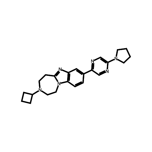 c1cc2c(cc1-c1cnc(N3CCCC3)cn1)nc1n2CCN(C2CCC2)CC1